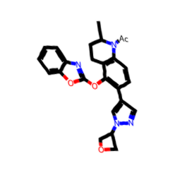 CC(=O)N1c2ccc(-c3cnn(C4COC4)c3)c(Oc3nc4ccccc4o3)c2CCC1C